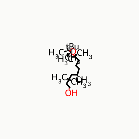 CC(CCCC(C)(C)O[Si](C)(C)C(C)(C)C)CC(C)(C)CCO